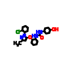 Cc1cc(Oc2ccccc2NC(=O)Nc2ccc(O)cc2)n(-c2ccccc2Cl)n1